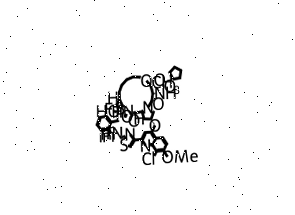 COc1ccc2c(O[C@@H]3C[C@H]4C(=O)N[C@]5(P(=O)(O)Cc6c(F)cccc6F)C[C@H]5CCCCCOC(C)[C@H](NC(=O)OC5CCCC5)C(=O)N4C3)cc(-c3csc(NC(C)C)n3)nc2c1Cl